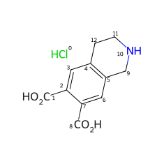 Cl.O=C(O)c1cc2c(cc1C(=O)O)CNCC2